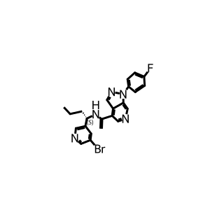 C=C(N[C@@H](CCC)c1cncc(Br)c1)c1cncc2c1cnn2-c1ccc(F)cc1